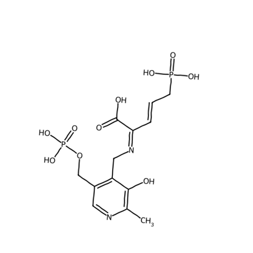 Cc1ncc(COP(=O)(O)O)c(C/N=C(/C=C/CP(=O)(O)O)C(=O)O)c1O